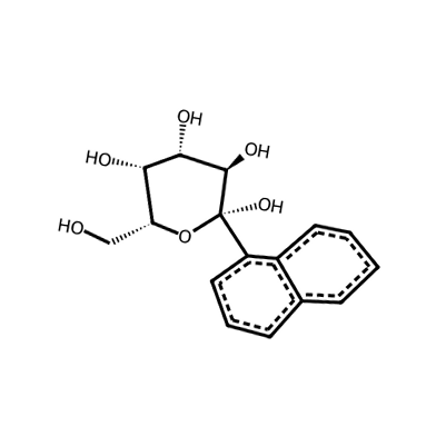 OC[C@H]1O[C@](O)(c2cccc3ccccc23)[C@H](O)[C@@H](O)[C@H]1O